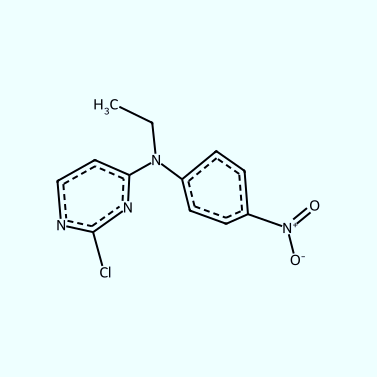 CCN(c1ccc([N+](=O)[O-])cc1)c1ccnc(Cl)n1